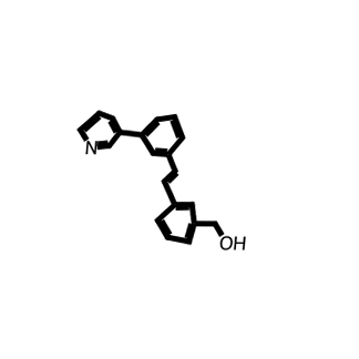 OCc1cccc(/C=C/c2cccc(-c3cccnc3)c2)c1